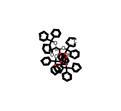 O=C[C@H](OC(c1ccccc1)(c1ccccc1)c1ccccc1)[C@@H](OC(c1ccccc1)(c1ccccc1)c1ccccc1)[C@H](OC(c1ccccc1)(c1ccccc1)c1ccccc1)[C@H](O)COC(c1ccccc1)(c1ccccc1)c1ccccc1